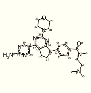 CN(C)CCN(C)C(=O)c1ccc(N2CCc3c(-c4cnc(N)nc4)nc(N4CCOCC4)nc32)cc1